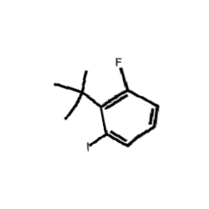 CC(C)(C)c1c(F)cccc1I